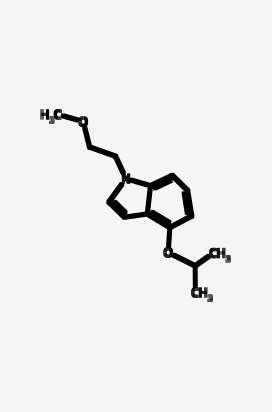 COCCn1ccc2c(OC(C)C)cccc21